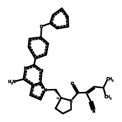 CC(C)C=C(C#N)C(=O)N1CCC[C@H]1Cn1ccc2c(N)nc(-c3ccc(Oc4ccccc4)cc3)nc21